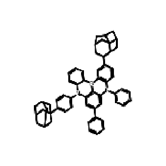 c1ccc(-c2cc3c4c(c2)N(c2ccccc2)c2ccc(C56CC7CC8CC(C5)C8(C7)C6)cc2B4c2ccccc2N3c2ccc(C34CC5CC(CC(C5)C3)C4)cc2)cc1